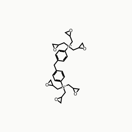 c1cc([N+](CC2CO2)(CC2CO2)CC2CO2)ccc1Cc1ccc([N+](CC2CO2)(CC2CO2)CC2CO2)cc1